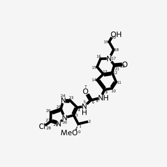 CO[C@@H](C)c1c(NC(=O)Nc2ccc3c(c2)CCN(CCO)C3=O)cnc2cc(Cl)nn12